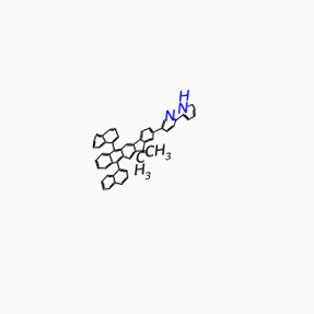 CC1(C)c2cc(-c3ccc(C4=CC=CCN4)nc3)ccc2-c2cc3c(-c4cccc5ccccc45)c4ccccc4c(-c4cccc5ccccc45)c3cc21